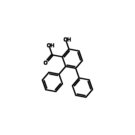 O=C(O)c1c(O)ccc(-c2ccccc2)c1-c1ccccc1